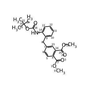 COC(=O)c1ccc(Cc2ccccc2NC(=O)OC(C)(C)C)cc1C(=O)OC